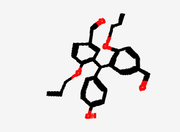 C=CCOc1ccc(C=O)cc1C(c1ccc(O)cc1)c1cc(C=O)ccc1OCC=C